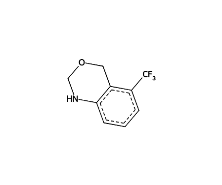 FC(F)(F)c1cccc2c1COCN2